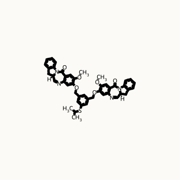 COc1cc2c(cc1OCc1cc(COc3cc4c(cc3OC)C(=O)N3c5ccccc5C[C@H]3C=N4)cc(SC(C)C)c1)N=C[C@@H]1Cc3ccccc3N1C2=O